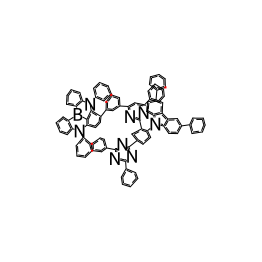 c1ccc(-c2ccc3c(c2)c2cc(-c4ccccc4)ccc2n3-c2ccc(-c3nc(-c4ccccc4)nc(-c4ccccc4)n3)cc2-c2nc(-c3ccccc3)cc(-c3cccc(-c4ccc5c6c4N(c4ccccc4)c4ccccc4B6c4ccccc4N5c4ccccc4)c3)n2)cc1